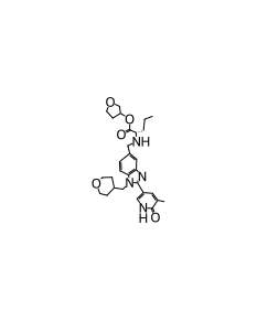 CCC[C@H](NCc1ccc2c(c1)nc(-c1c[nH]c(=O)c(C)c1)n2CC1CCOCC1)C(=O)OC1CCOC1